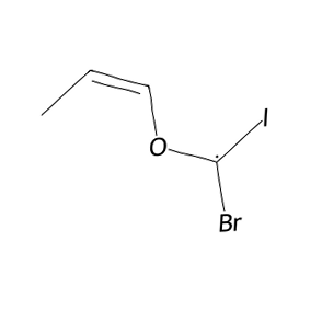 C/C=C\O[C](Br)I